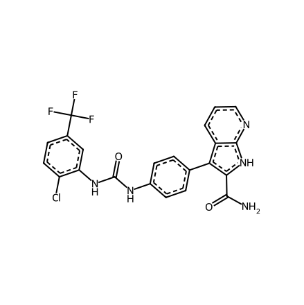 NC(=O)c1[nH]c2ncccc2c1-c1ccc(NC(=O)Nc2cc(C(F)(F)F)ccc2Cl)cc1